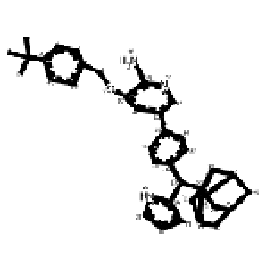 CC(C)(C)c1ccc(COc2cc(-c3ccc([C](c4ccc[nH]4)C45CC6CC(CC(C6)C4)C5)cc3)cnc2N)cc1